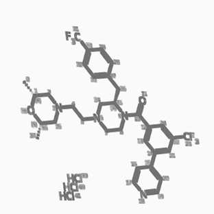 C[C@@H]1CN(CCN2CCN(C(=O)c3cc(-c4ccncc4)cc(C(F)(F)F)c3)[C@H](Cc3ccc(C(F)(F)F)cc3)C2)C[C@H](C)O1.Cl.Cl.Cl